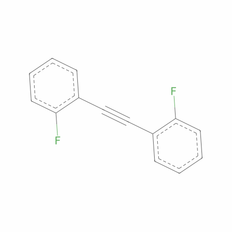 Fc1ccccc1C#Cc1ccccc1F